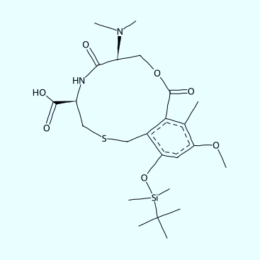 COc1cc(O[Si](C)(C)C(C)(C)C)c2c(c1C)C(=O)OC[C@H](N(C)C)C(=O)N[C@H](C(=O)O)CSC2